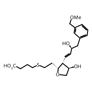 COCc1cccc(C[C@H](O)C=C[C@@H]2[C@@H](O)CO[C@@H]2CCSCCCC(=O)O)c1